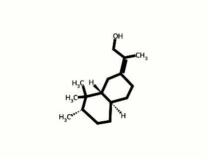 C/C(CO)=C1\CC[C@H]2CC[C@H](C)C(C)(C)[C@@H]2C1